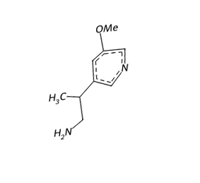 COc1cncc(C(C)CN)c1